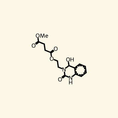 COC(=O)CCC(=O)OCCN1C(=O)Nc2ccccc2C1O